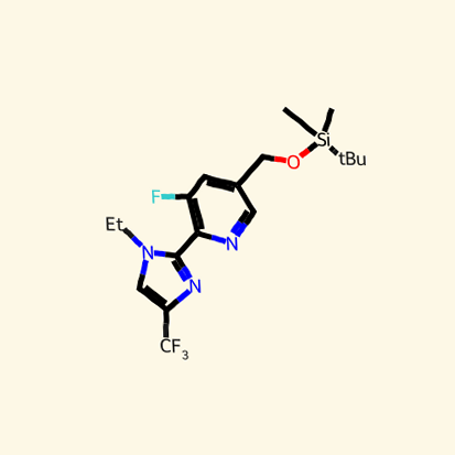 CCn1cc(C(F)(F)F)nc1-c1ncc(CO[Si](C)(C)C(C)(C)C)cc1F